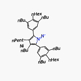 CCCCCCc1c(CCCC)cc(C2=C(CCCC)C(CCCCC)=C(c3cc(CCCC)c(CCCCCC)c(CCCC)c3)[N+]2=[N-])cc1CCCC.[Ni]